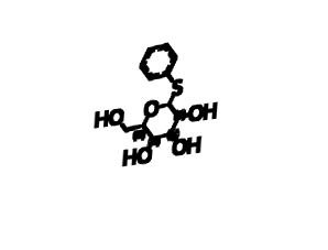 OC[C@H]1OC(Sc2ccccc2)[C@@H](O)[C@@H](O)[C@@H]1O